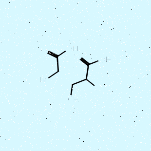 CCC(Cl)C(=O)O.O=C(O)CBr